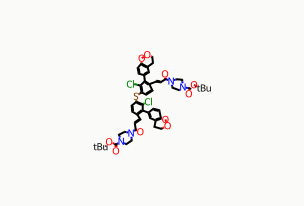 CC(C)(C)OC(=O)N1CCN(C(=O)/C=C/c2ccc(Sc3ccc(/C=C/C(=O)N4CCN(C(=O)OC(C)(C)C)CC4)c(-c4ccc5c(c4)CCOO5)c3Cl)c(Cl)c2-c2ccc3c(c2)CCOO3)CC1